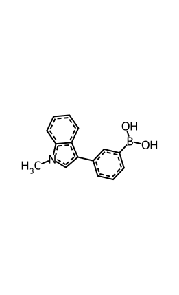 Cn1cc(-c2cccc(B(O)O)c2)c2ccccc21